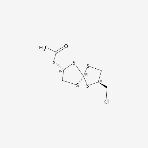 CC(=O)S[C@H]1CS[C@@]2(SC[C@@H](CCl)S2)S1